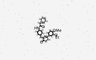 CCOc1cc(C2=NN(Cc3ccc(NC(=O)CN4CCSCC4)cc3)C(=O)CC2)ccc1OC